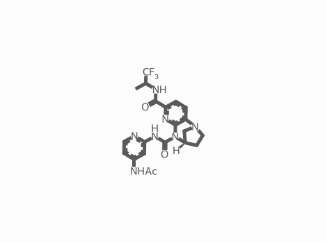 CC(=O)Nc1ccnc(NC(=O)N2c3nc(C(=O)NC(C)C(F)(F)F)ccc3N3CC[C@H]2C3)c1